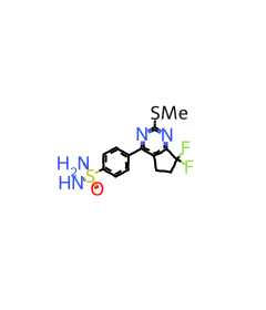 CSc1nc(-c2ccc(S(=N)(N)=O)cc2)c2c(n1)C(F)(F)CC2